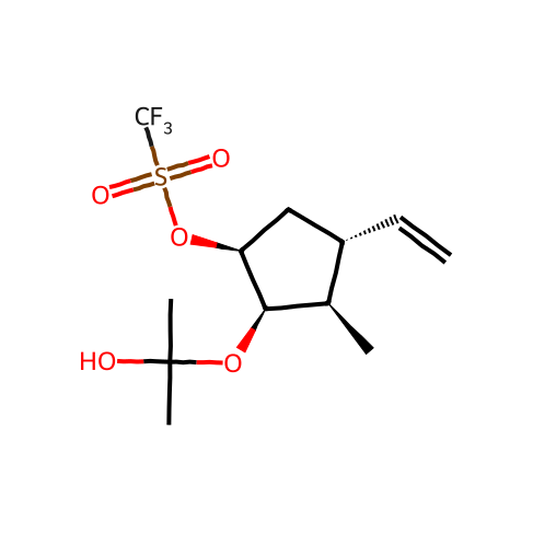 C=C[C@H]1C[C@H](OS(=O)(=O)C(F)(F)F)[C@H](OC(C)(C)O)[C@@H]1C